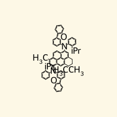 Cc1cc(N(c2ccccc2C(C)C)c2cccc3c2oc2ccccc23)c2cc3c4c(cc(N(c5ccccc5C(C)C)c5cccc6c5oc5ccccc56)c5ccc1c2c54)CCC3(C)C